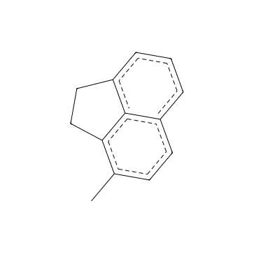 Cc1ccc2cccc3c2c1CC3